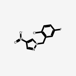 O=[N+]([O-])c1cnn(Cc2cc(F)ccc2Cl)c1